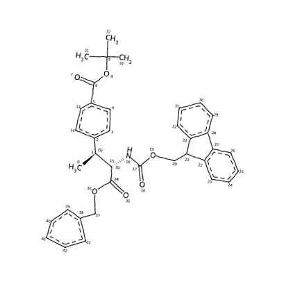 C[C@@H](c1ccc(C(=O)OC(C)(C)C)cc1)[C@H](NC(=O)OCC1c2ccccc2-c2ccccc21)C(=O)OCc1ccccc1